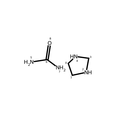 C1CNCN1.NC(N)=O